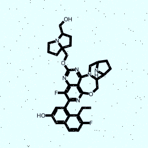 CCc1c(F)ccc2cc(O)cc(-c3nc4c5c(nc(OCC67CCCN6C(CO)CC7)nc5c3F)N3CC5CCC(N5)C3CO4)c12